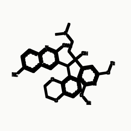 CCOc1cc(C(O)(CCN(C)C)C(c2cc3cc(C#N)ccc3nc2OC)c2cccc3c2OCCO3)cc(OCC)n1